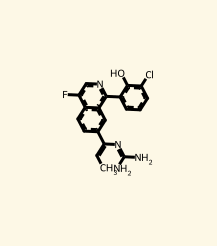 CC=C(N=C(N)N)c1ccc2c(F)cnc(-c3cccc(Cl)c3O)c2c1